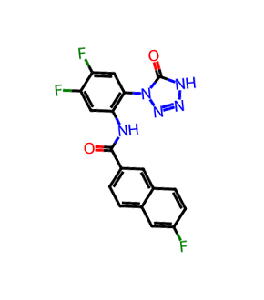 O=C(Nc1cc(F)c(F)cc1-n1nn[nH]c1=O)c1ccc2cc(F)ccc2c1